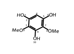 COc1c(O)cc(O)c(OC)c1O